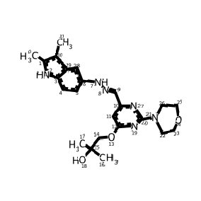 Cc1[nH]c2ccc(NN=Cc3cc(OCC(C)(C)O)nc(N4CCOCC4)n3)cc2c1C